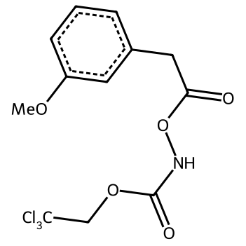 COc1cccc(CC(=O)ONC(=O)OCC(Cl)(Cl)Cl)c1